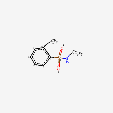 CCOC(=O)NS(=O)(=O)c1ccccc1C(F)(F)F